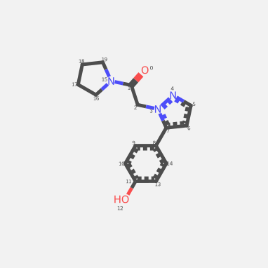 O=C(Cn1nccc1-c1ccc(O)cc1)N1CCCC1